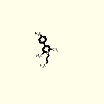 CCCC[n+]1c(C)cc(-c2ccc(C)cc2)cc1C